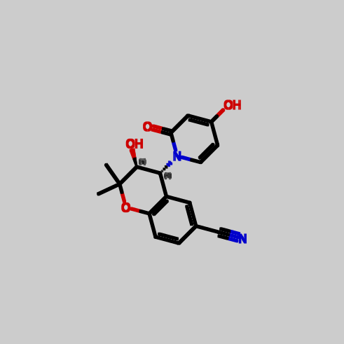 CC1(C)Oc2ccc(C#N)cc2[C@@H](n2ccc(O)cc2=O)[C@@H]1O